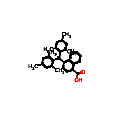 Cc1cc(C)c(B(c2c(C)cc(C)cc2C)c2ccc(C(=O)O)c3ccccc23)c(C)c1